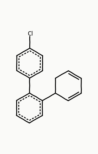 Clc1ccc(-c2ccccc2C2C=CC=CC2)cc1